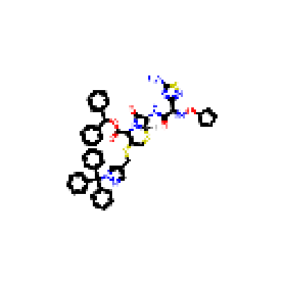 Nc1nc(/C(=N\OC2C=CCC2)C(=O)N[C@@H]2C(=O)N3C(C(=O)OC(c4ccccc4)c4ccccc4)=C(SCc4cnn(C(c5ccccc5)(c5ccccc5)c5ccccc5)c4)CS[C@H]23)ns1